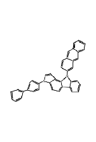 c1ccc(-c2ccc(-n3ccc4c3ccc3c5ccccc5n(-c5ccc6cc7ccccc7cc6c5)c34)cc2)cc1